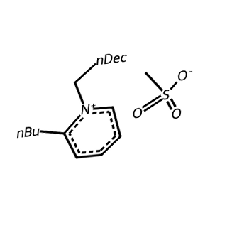 CCCCCCCCCCC[n+]1ccccc1CCCC.CS(=O)(=O)[O-]